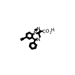 C#Cc1ccc2c(c1)C(c1ccccc1)=NCc1c(C(=O)O)ncn1-2